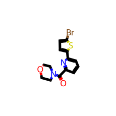 O=C(c1cccc(-c2ccc(Br)s2)n1)N1CCOCC1